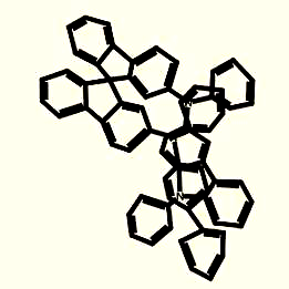 c1ccc(-c2ccc(N(c3ccccc3)c3ccc4c(c3)C3(c5ccccc5-4)c4ccccc4-c4ccc(N(c5ccccc5)c5ccc6c(c5)c5ccccc5n6-c5ccccc5)cc43)cc2)cc1